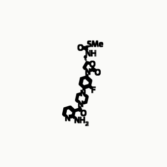 CSC(=O)NC[C@H]1CN(c2ccc(N3CCN(C(=O)c4cccnc4N)CC3)c(F)c2)C(=O)O1